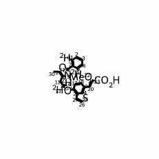 [2H]c1cccc([2H])c1-c1nc(CC([2H])([2H])Oc2ccc(/C=C(\OC)C(=O)O)c3sccc23)c(C)o1